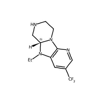 CCN1c2cc(C(F)(F)F)cnc2N2CCNC[C@@H]12